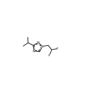 CC(C)c1ncn(CC(F)F)n1